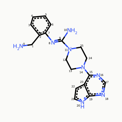 NCc1ccccc1N=C(N)N1CCN(c2ncnc3[nH]ccc23)CC1